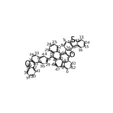 c1ccc(-c2oc3c(ccc4sc5ccccc5c43)c2-c2c3ccccc3c(-c3ccc4c(ccc5oc6ccccc6c54)c3)c3ccccc23)cc1